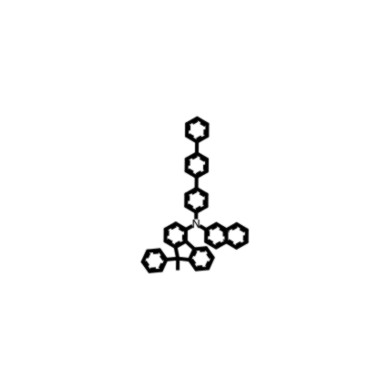 CC1(c2ccccc2)c2ccccc2-c2c(N(c3ccc(-c4ccc(-c5ccccc5)cc4)cc3)c3ccc4ccccc4c3)cccc21